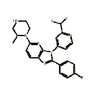 CC1CNCCN1c1ccc2nc(-c3ccc(F)cc3)n(-c3ccnc(C(F)F)c3)c2n1